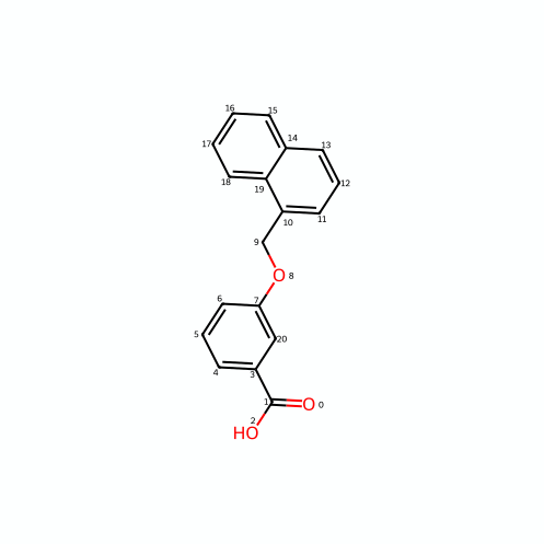 O=C(O)c1cccc(OCc2cccc3ccccc23)c1